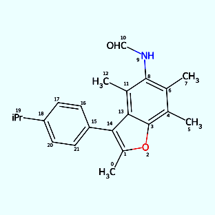 Cc1oc2c(C)c(C)c(NC=O)c(C)c2c1-c1ccc(C(C)C)cc1